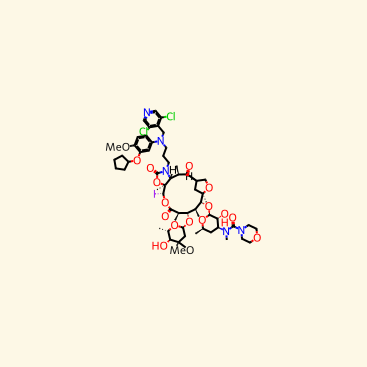 COc1ccc(N(CCCN2C(=O)O[C@]3(C)[C@@H](I)OC(=O)[C@H](C)[C@@H](O[C@H]4C[C@@](C)(OC)[C@@H](O)[C@H](C)O4)[C@H](C)[C@@H](O[C@@H]4O[C@H](C)C[C@H](N(C)C(=O)N5CCOCC5)[C@H]4O)[C@@]4(C)C[C@@H](CO4)C(=O)[C@H](C)[C@@H]23)Cc2c(Cl)cncc2Cl)cc1OC1CCCC1